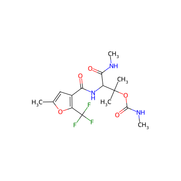 CNC(=O)OC(C)(C)C(NC(=O)c1cc(C)oc1C(F)(F)F)C(=O)NC